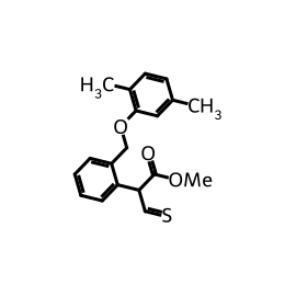 COC(=O)C(C=S)c1ccccc1COc1cc(C)ccc1C